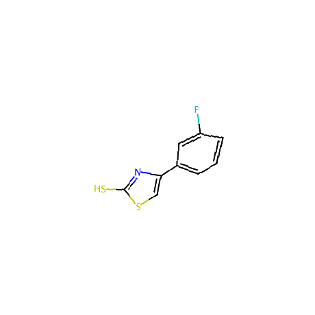 Fc1cccc(-c2csc(S)n2)c1